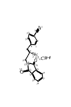 Cl.N#Cc1ccc(C[C@@H](N)CN2C(=O)c3ccccc3C2=O)cc1